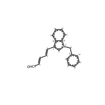 O=CC=CC=Cc1cn(Cc2ccccc2)c2ccccc12